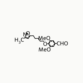 COc1cc(C=O)cc(OC)c1OCCCCCc1cc(C)no1